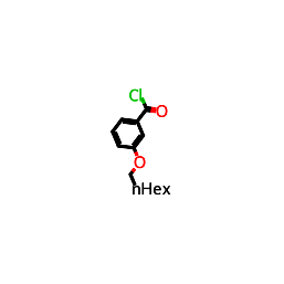 CCCCCCCOc1cccc(C(=O)Cl)c1